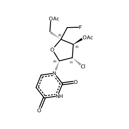 CC(=O)OC[C@@]1(CF)O[C@@H](n2ccc(=O)[nH]c2=O)[C@@H](Cl)[C@@H]1OC(C)=O